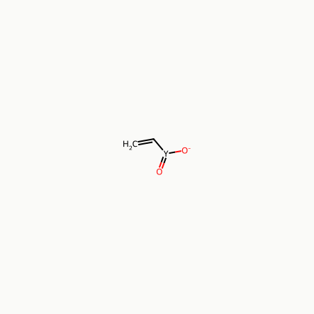 C=[CH][Y](=[O])[O-]